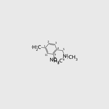 [CH2]c1ccc(CN(C)C)c([N+](=O)[O-])c1